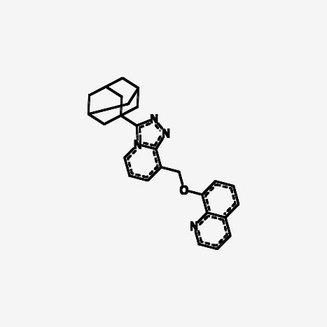 c1cnc2c(OCc3cccn4c(C56CC7CC(CC(C7)C5)C6)nnc34)cccc2c1